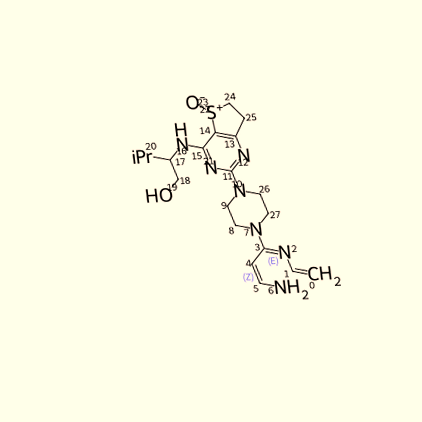 C=C/N=C(\C=C/N)N1CCN(c2nc3c(c(NC(CO)C(C)C)n2)[S+]([O-])CC3)CC1